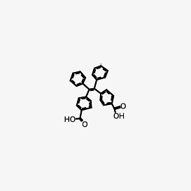 O=C(O)c1ccc(C(=C(c2ccccc2)c2ccc(C(=O)O)cc2)c2cc[c]cc2)cc1